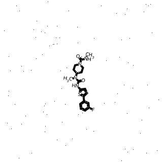 CNC(=O)N1CCC(N(C)C(=O)Nc2ccc(-c3cccc(F)c3)s2)CC1